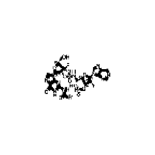 CC(C)C(=O)Nc1nc2c(ncn2[C@@H]2O[C@H](CO)[C@@H](F)[C@H]2OS(=O)(=O)NC[C@H]2O[C@@H](n3cnc4cncnc43)[C@H](F)[C@@H]2O[PH](=O)O)c(=O)[nH]1